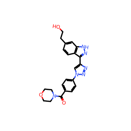 O=C(c1ccc(-n2cc(-c3n[nH]c4cc(CCO)ccc34)nn2)cc1)N1CCOCC1